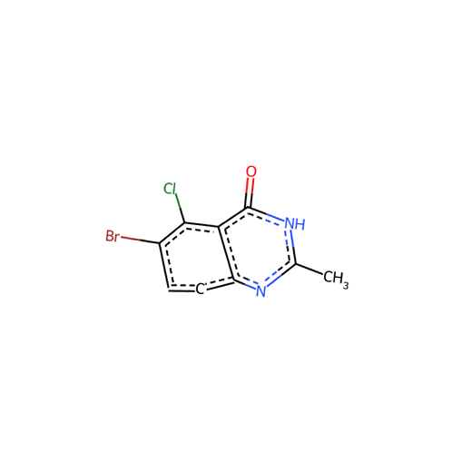 Cc1nc2ccc(Br)c(Cl)c2c(=O)[nH]1